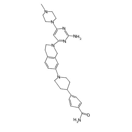 CN1CCN(c2cc(N3CCc4ccc(N5CCC(c6ccc(C(N)=O)cc6)CC5)cc4C3)nc(N)n2)CC1